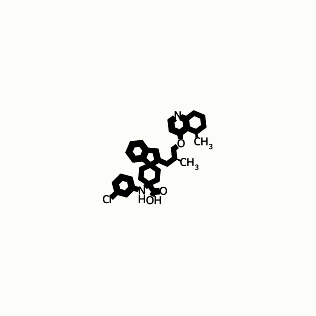 C[C@@H](COc1ccnc2c1[C@H](C)CCC2)CC1=Cc2ccccc2C12CCC(Nc1cccc(Cl)c1)(C(=O)O)CC2